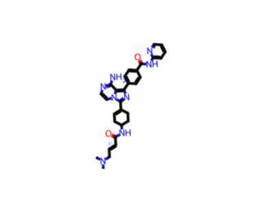 CN(C)C/C=C/C(=O)NC1CC=C(c2nc(-c3ccc(C(=O)Nc4ccccn4)cc3)c3c(N)nccn23)CC1